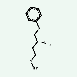 CC(C)NCC[C@@H](N)CSc1ccccc1